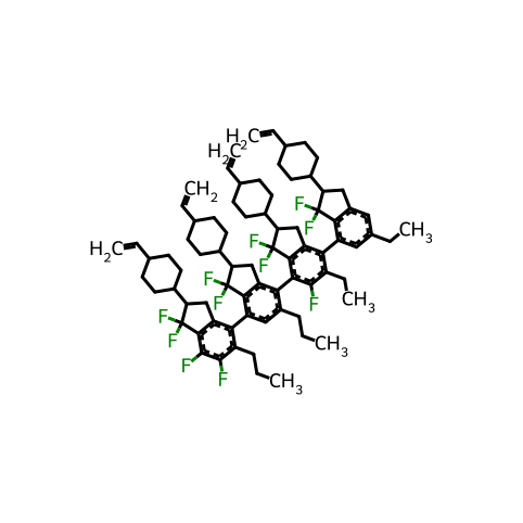 C=CC1CCC(C2Cc3cc(CC)cc(-c4c(CC)c(F)c(-c5c(CCC)cc(-c6c(CCC)c(F)c(F)c7c6CC(C6CCC(C=C)CC6)C7(F)F)c6c5CC(C5CCC(C=C)CC5)C6(F)F)c5c4CC(C4CCC(C=C)CC4)C5(F)F)c3C2(F)F)CC1